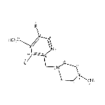 CN1CCN(Cc2ncc(F)c(C(=O)O)c2Cl)CC1